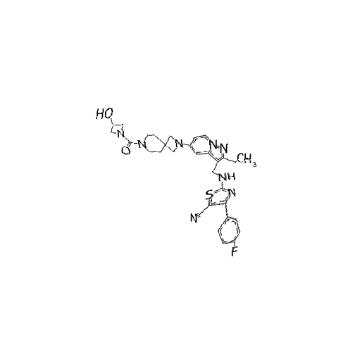 CCc1nn2ccc(N3CC4(CCN(C(=O)N5CC(O)C5)CC4)C3)cc2c1CNc1nc(-c2ccc(F)cc2)c(C#N)s1